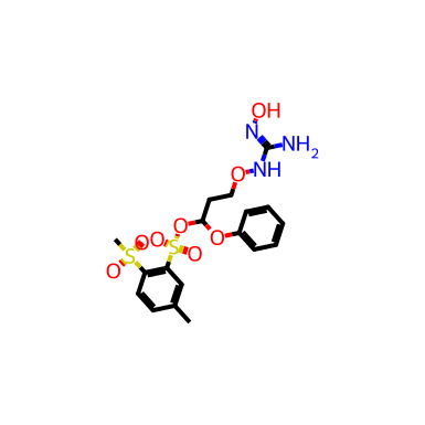 Cc1ccc(S(C)(=O)=O)c(S(=O)(=O)OC(CCONC(N)=NO)Oc2ccccc2)c1